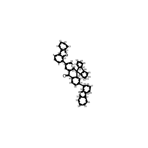 O=C1c2cc(-c3cccc4c3sc3ccccc34)ccc2C2(c3cc(-c4cccc5c4sc4ccccc45)ccc31)c1ccccc1-c1ccccc12